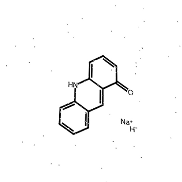 O=c1cccc2[nH]c3ccccc3cc1-2.[H-].[Na+]